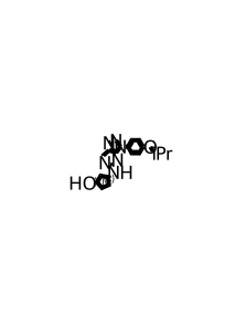 CC(C)Oc1ccc(-n2nnc3cnc(N[C@@H]4CC[C@@H](O)C4)nc32)cc1